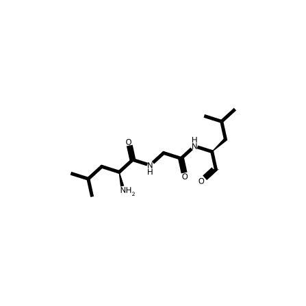 CC(C)C[C@@H]([C]=O)NC(=O)CNC(=O)[C@@H](N)CC(C)C